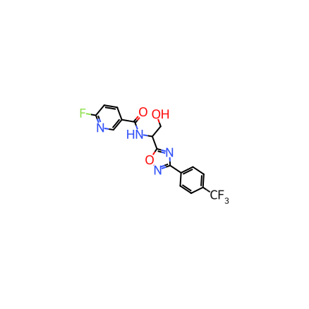 O=C(NC(CO)c1nc(-c2ccc(C(F)(F)F)cc2)no1)c1ccc(F)nc1